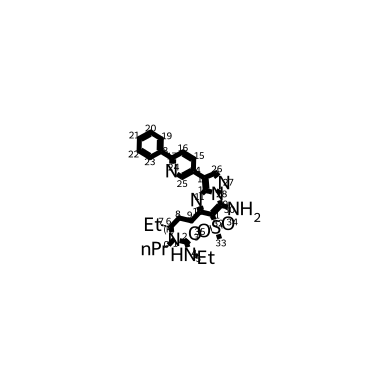 CCCN(C(=O)NCC)[C@H](CC)CCc1nc2c(-c3ccc(-c4ccccc4)nc3)cnn2c(N)c1S(C)(=O)=O